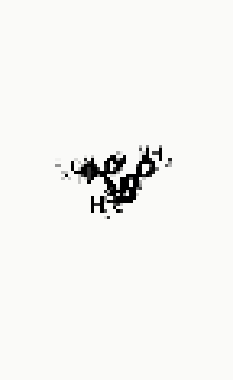 Cc1ccc2nc(N3CCCC(N)C3)ccc2c1C(=O)NCC(c1cnc(C(F)(F)F)nc1)N1CCOCC1